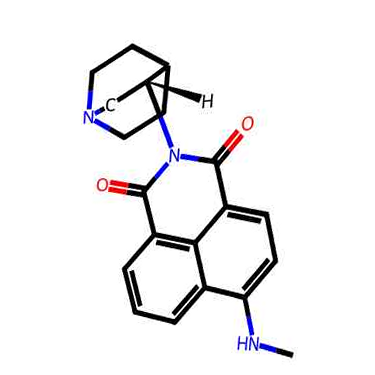 CNc1ccc2c3c(cccc13)C(=O)N([C@@H]1CN3CCC1CC3)C2=O